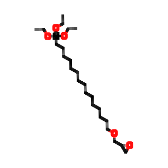 CCO[Si](CCCCCCCCCCCCCCCOCC1CO1)(OCC)OCC